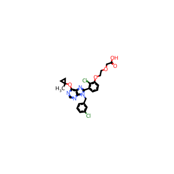 CC1(Oc2ncnc3c2nc(-c2cccc(OCCOCC(=O)O)c2Cl)n3Cc2cccc(Cl)c2)CC1